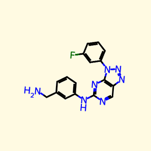 NCc1cccc(Nc2ncc3nnn(-c4cccc(F)c4)c3n2)c1